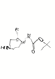 CC(C)(C)OC(=O)N[C@@H]1CCNC[C@@H]1F